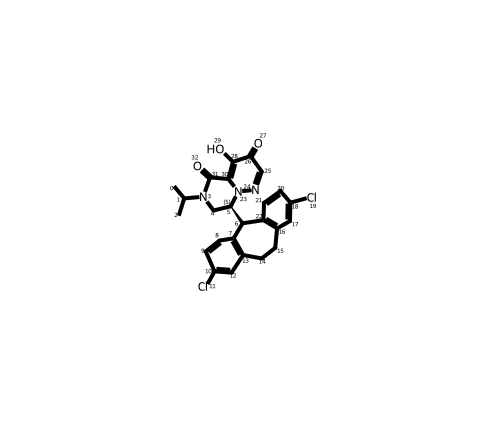 CC(C)N1C[C@H](C2c3ccc(Cl)cc3CCc3cc(Cl)ccc32)n2ncc(=O)c(O)c2C1=O